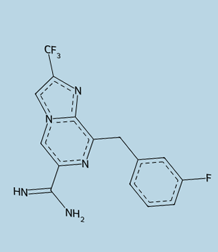 N=C(N)c1cn2cc(C(F)(F)F)nc2c(Cc2cccc(F)c2)n1